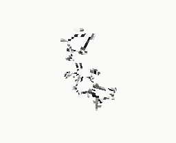 CC(C)C1c2nc[nH]c2CCN1C(=O)OCC1CCCO1